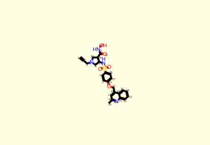 C#CCN1CC(NS(=O)(=O)c2ccc(OCc3cc(C)nc4ccccc34)cc2)C(C(=O)NO)C1